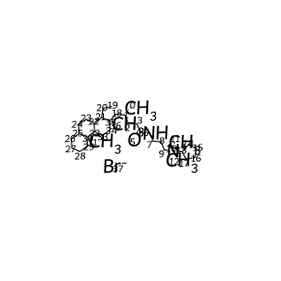 C[C@H](CCC(=O)NCCC[N+](C)(C)C1CCCC1)[C@H]1CCC2C3CCC4CCCC[C@]4(C)C3CC[C@@]21C.[Br-]